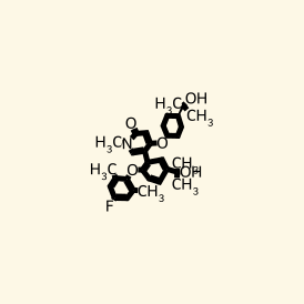 Cc1cc(F)cc(C)c1Oc1ccc(C(C)(C)O)cc1-c1cn(C)c(=O)cc1O[C@H]1CC[C@H](C(C)(C)O)CC1